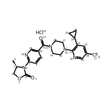 C[C@@H]1COC(=O)N1c1ccc(C(=O)N2CCN(c3ncc(C(F)(F)F)cc3C3CC3)CC2)cn1.Cl